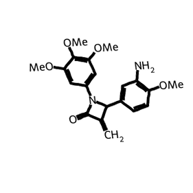 C=C1C(=O)N(c2cc(OC)c(OC)c(OC)c2)C1c1ccc(OC)c(N)c1